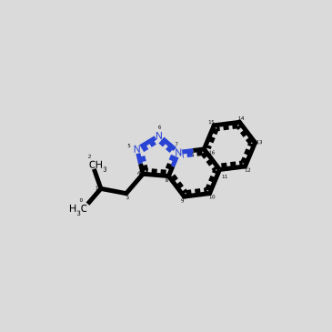 CC(C)Cc1nnn2c1ccc1ccccc12